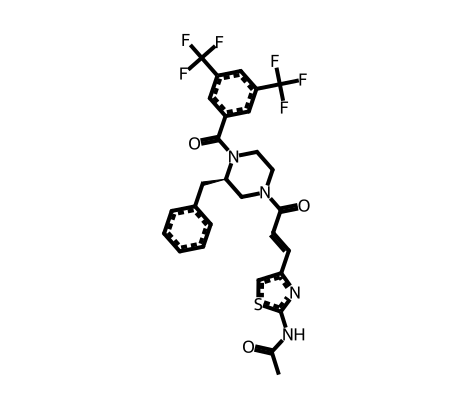 CC(=O)Nc1nc(C=CC(=O)N2CCN(C(=O)c3cc(C(F)(F)F)cc(C(F)(F)F)c3)[C@H](Cc3ccccc3)C2)cs1